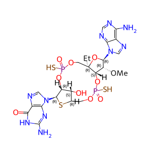 CC[C@@]12COP(=O)(S)O[C@@H]3[C@H](O)[C@@H](COP(=O)(S)O[C@H]1[C@@H](OC)[C@H](n1cnc4c(N)ncnc41)O2)S[C@H]3n1cnc2c(=O)[nH]c(N)nc21